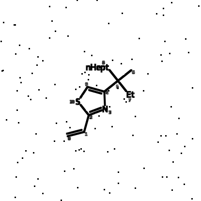 C=Cc1nc(C(C)(CC)CCCCCCC)cs1